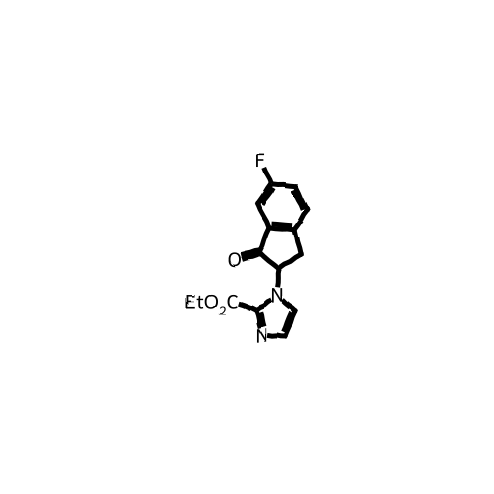 CCOC(=O)c1nccn1C1Cc2ccc(F)cc2C1=O